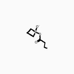 CCCC(=O)O[N+]1([O-])CCC1